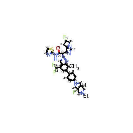 CCN1C[C@H]2CN(c3ccc(-c4cc(C(F)F)c5cn(C(C(=O)Nc6nccs6)c6ncn7c6C[C@@H](F)C7)nc5c4C)cc3)C[C@]2(F)C1